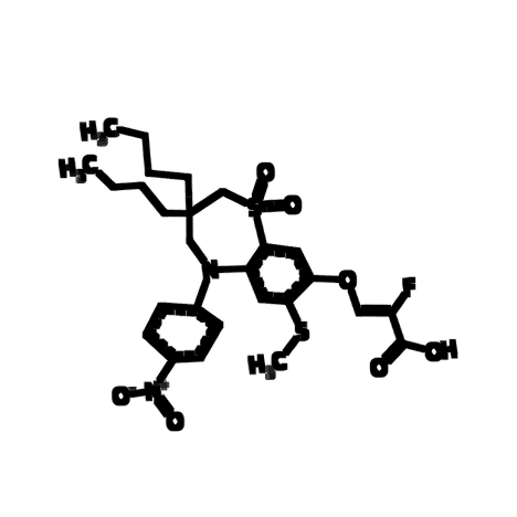 CCCCC1(CCCC)CN(c2ccc([N+](=O)[O-])cc2)c2cc(SC)c(OC=C(F)C(=O)O)cc2S(=O)(=O)C1